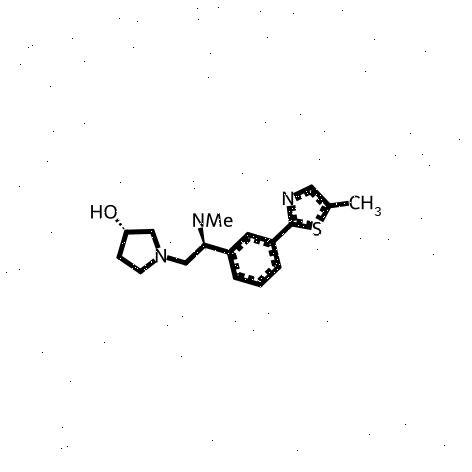 CN[C@H](CN1CC[C@H](O)C1)c1cccc(-c2ncc(C)s2)c1